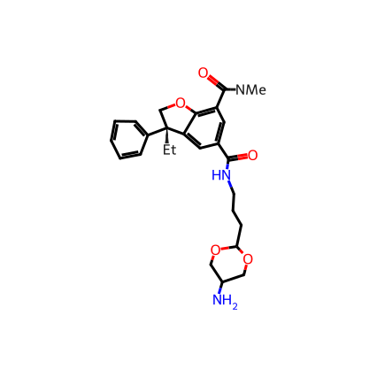 CC[C@@]1(c2ccccc2)COc2c(C(=O)NC)cc(C(=O)NCCCC3OCC(N)CO3)cc21